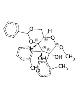 CO[C@H]1O[C@@H]2COC(c3ccccc3)O[C@H]2[C@@](O)(c2ccccc2C)[C@]1(O)c1ccccc1C